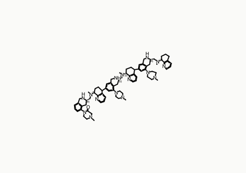 CN1CCN(c2cc(C3CC[C@H](N(C)C[C@@H]4Cc5c(cc(C6CC[C@H](N(C)C[C@H]7Cc8c(cccc8N8CCN(C)CC8=O)CN7)c7ncccc76)cc5N5CCN(C)CC5)CN4)c4ncccc43)cc3c2C[C@H](CN(C)[C@H]2CCCc4cccnc42)NC3)CC1